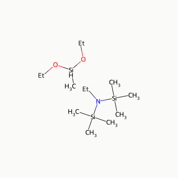 CCN([Si](C)(C)C)[Si](C)(C)C.CCO[SiH](C)OCC